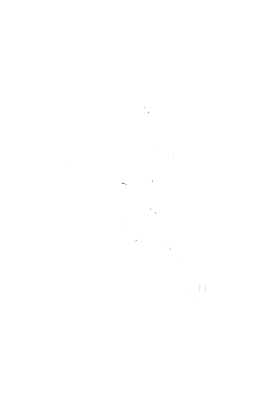 C[C@@](O)(CN1CCN(c2ccc(C#N)cc2Cl)[C@H](c2ccc(Cl)cc2)C1)c1ccc(C(=O)O)cn1